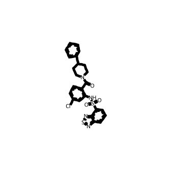 O=C(c1ccc(Cl)cc1NS(=O)(=O)c1cccc2nsnc12)N1CCC(c2ccccc2)CC1